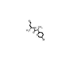 C/C(=C/C=O)NC(=O)N(C)c1ccc(Br)cn1